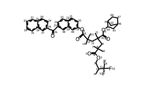 CC(COC(=O)C(C)(C)CC(C)(CC(C)(C)C(=O)Oc1ccc2ccc(C(=O)c3ccc4ccccc4c3)cc2c1)C(=O)OC1CC2CCC1C2)C(F)(F)F